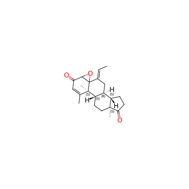 CC=C1C[C@H]2[C@@H]3CCC(=O)[C@@]3(C)CC[C@@H]2[C@@]2(C)C(C)=CC(=O)C3OC132